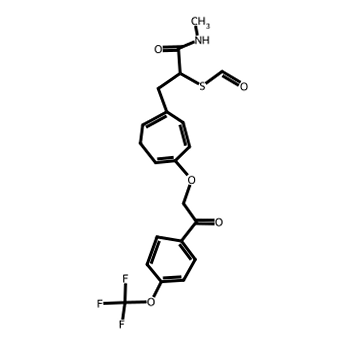 CNC(=O)C(CC1=CCC=C(OCC(=O)c2ccc(OC(F)(F)F)cc2)C=C1)SC=O